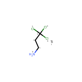 NCCC(Cl)(Cl)Cl.[Ti]